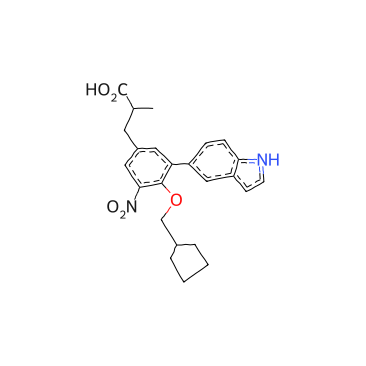 CC(Cc1cc(-c2ccc3[nH]ccc3c2)c(OCC2CCCC2)c([N+](=O)[O-])c1)C(=O)O